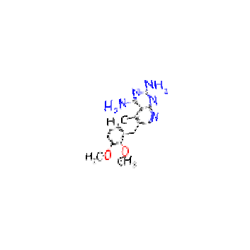 COc1cccc(Cc2cnc3nc(N)nc(N)c3c2C)c1OC